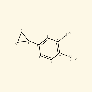 Nc1ccc(C2CC2)cc1I